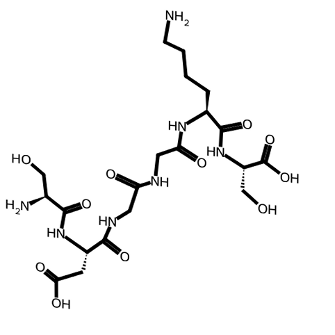 NCCCC[C@H](NC(=O)CNC(=O)CNC(=O)[C@H](CC(=O)O)NC(=O)[C@@H](N)CO)C(=O)N[C@@H](CO)C(=O)O